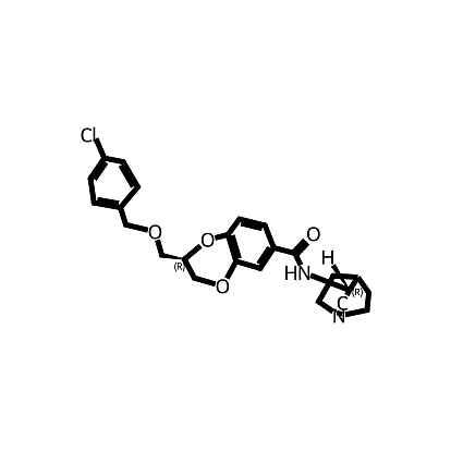 O=C(N[C@H]1CN2CCC1CC2)c1ccc2c(c1)OC[C@@H](COCc1ccc(Cl)cc1)O2